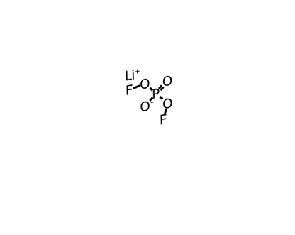 O=P([O-])(OF)OF.[Li+]